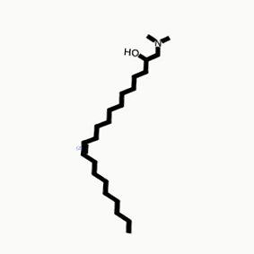 CCCCCCCC/C=C\CCCCCCCCCC(O)CN(C)C